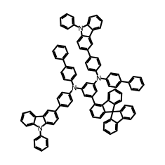 c1ccc(-c2ccc(N(c3ccc(-c4ccc5c(c4)c4ccccc4n5-c4ccccc4)cc3)c3cc(-c4cccc5c4-c4ccccc4C54c5ccccc5-c5ccccc54)cc(N(c4ccc(-c5ccccc5)cc4)c4ccc(-c5ccc6c(c5)c5ccccc5n6-c5ccccc5)cc4)c3)cc2)cc1